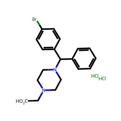 Cl.Cl.O=C(O)CN1CCN(C(c2ccccc2)c2ccc(Br)cc2)CC1